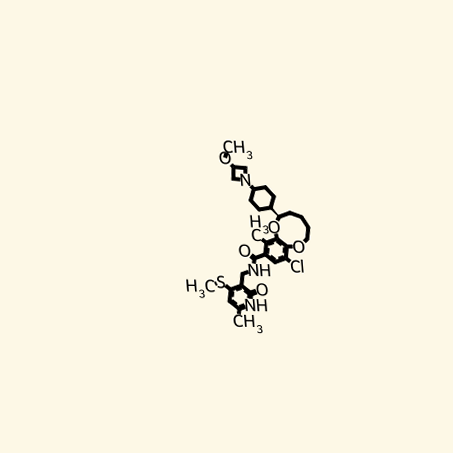 COC1CN(C2CCC([C@H]3CCCCOc4c(Cl)cc(C(=O)NCc5c(SC)cc(C)[nH]c5=O)c(C)c4O3)CC2)C1